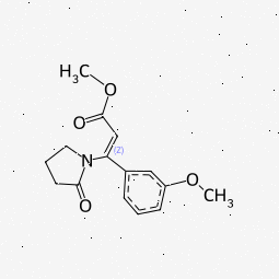 COC(=O)/C=C(/c1cccc(OC)c1)N1CCCC1=O